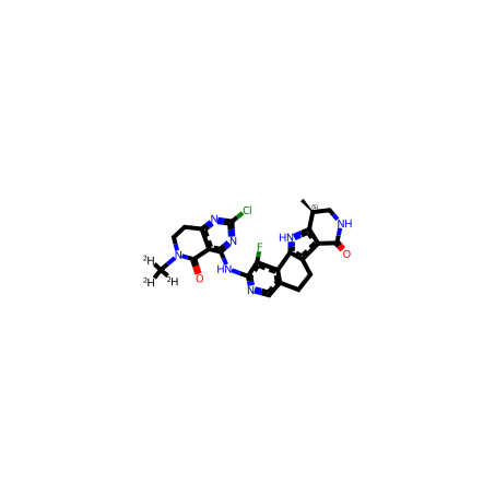 [2H]C([2H])([2H])N1CCc2nc(Cl)nc(Nc3ncc4c(c3F)-c3[nH]c5c(c3CC4)C(=O)NC[C@@H]5C)c2C1=O